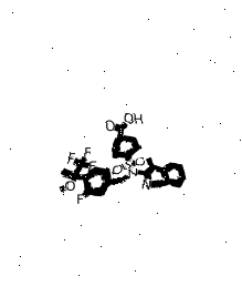 COC(C)(c1ccc(CN(c2ncc3ccccc3c2C)S(=O)(=O)c2ccc(C(=O)O)cc2)cc1F)C(F)(F)F